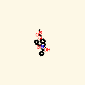 CCOC(=O)COc1ccc(C[C@@H](C)N(C[C@H](O)c2ccccc2)C[C@H](O)c2ccccc2)cc1